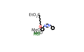 CCOC(=O)CCCCCCCOc1c(CN2CCN(Cc3ccccc3)CC2)ccc(OC)c1OC.Cl.Cl